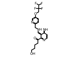 N=C1C=CN=C(C(=O)CCCCO)/C1=C/NCc1ccc(OCC(F)(F)C(F)F)cn1